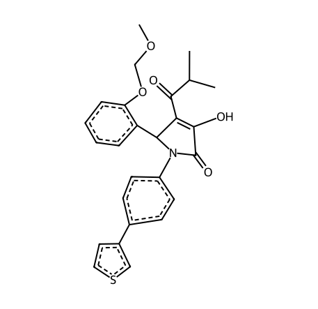 COCOc1ccccc1C1C(C(=O)C(C)C)=C(O)C(=O)N1c1ccc(-c2ccsc2)cc1